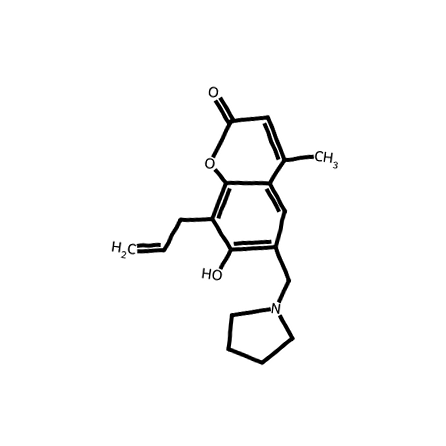 C=CCc1c(O)c(CN2CCCC2)cc2c(C)cc(=O)oc12